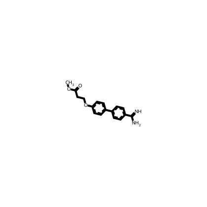 COC(=O)CCOc1ccc(-c2ccc(C(=N)N)cc2)cc1